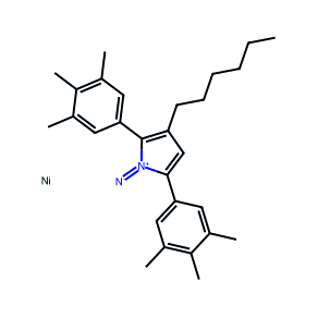 CCCCCCC1=C(c2cc(C)c(C)c(C)c2)[N+](=[N-])C(c2cc(C)c(C)c(C)c2)=C1.[Ni]